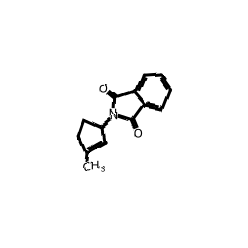 CC1=CC(N2C(=O)c3ccccc3C2=O)CC1